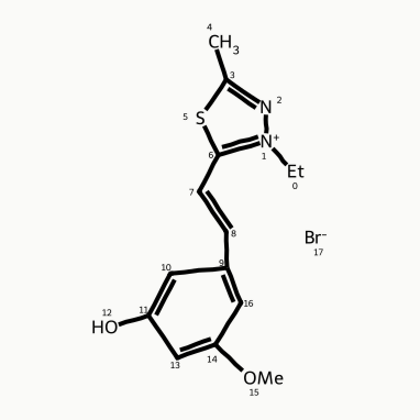 CC[n+]1nc(C)sc1/C=C/c1cc(O)cc(OC)c1.[Br-]